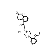 CCOc1ccccc1N1CCN(CCC(=O)c2cccc3c2CCC(=O)N3)CC1.Cl